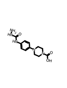 NNC(=O)Nc1ccc(N2CCN(C(=O)O)CC2)cc1